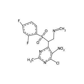 C=NCC(c1nc(C)nc(Cl)c1[N+](=O)[O-])S(=O)(=O)c1ccc(F)cc1F